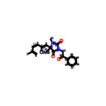 C=C(C)/C=C\C(=C\C1(C)C(=O)N(CC(=O)c2ccccc2)C(=O)N1C)OC